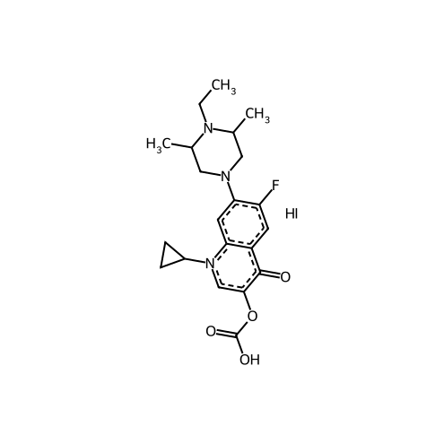 CCN1C(C)CN(c2cc3c(cc2F)c(=O)c(OC(=O)O)cn3C2CC2)CC1C.I